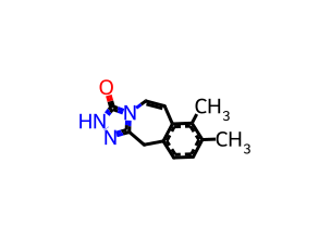 Cc1ccc2c(c1C)C=Cn1c(n[nH]c1=O)C2